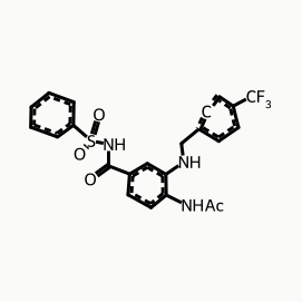 CC(=O)Nc1ccc(C(=O)NS(=O)(=O)c2ccccc2)cc1NCc1ccc(C(F)(F)F)cc1